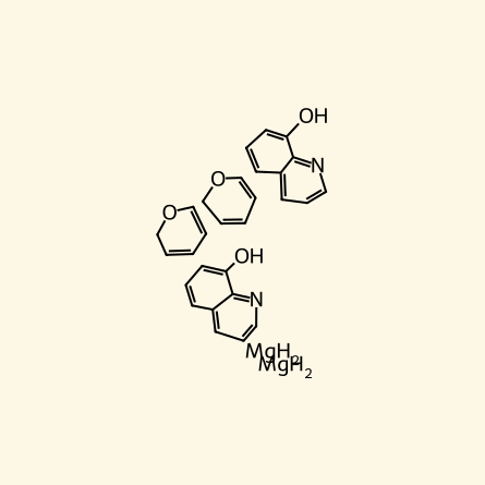 C1=CCOC=C1.C1=CCOC=C1.Oc1cccc2cccnc12.Oc1cccc2cccnc12.[MgH2].[MgH2]